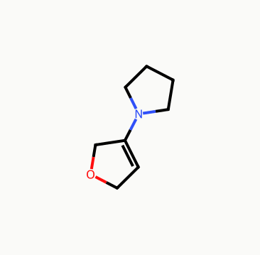 C1=C(N2CCCC2)COC1